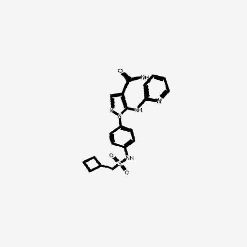 NC(=O)c1cnn(-c2ccc(NS(=O)(=O)CC3CCC3)cc2)c1Nc1ccccn1